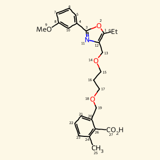 CCc1oc(-c2cccc(OC)c2)nc1COCCCOCc1cccc(C)c1C(=O)O